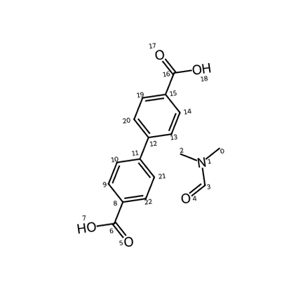 CN(C)C=O.O=C(O)c1ccc(-c2ccc(C(=O)O)cc2)cc1